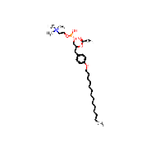 CCCCCCCCCCCCCCOc1ccc(CC(COP(O)OCC[N+](C)(C)C)OC(C)=O)cc1